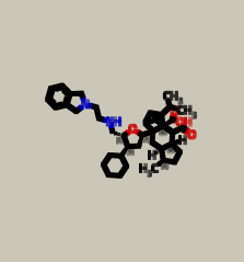 CC(C)C1=CC2CC3(C=O)[C@@H]4CC[C@@H](C)[C@H]4CC2([C@H]2C[C@@H](C4CCCCC4)[C@H](CNCCN4Cc5ccccc5C4)O2)[C@]13C(=O)O